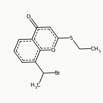 CCSc1cc(=O)c2cccc(C(C)Br)c2o1